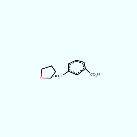 C1CCOC1.O=C(O)c1cccc(C(=O)O)c1